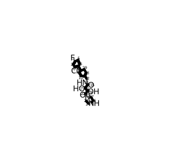 N#Cc1cc(F)ccc1C1C=CC(CNC(=O)[C@H](O)[C@@H](O)C(=O)N2CCNCC2)=CC1